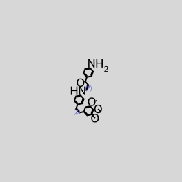 COc1cc(/C=C\c2ccc(N/C=C\C(=O)c3ccc(N)cc3)cc2)cc(OC)c1OC